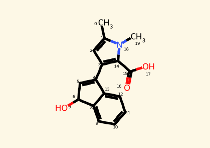 Cc1cc(C2=CC(O)c3ccccc32)c(C(=O)O)n1C